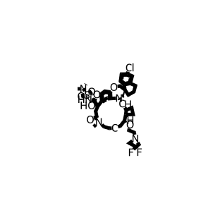 CN1CCCC[C@H](OCCN2CC(F)(F)C2)[C@@H]2CC[C@H]2CN2C[C@@]3(CCCc4cc(Cl)ccc43)COc3ccc(cc32)[C@@](O)(C(=O)NS(=O)(=O)N(C)C)CC1=O